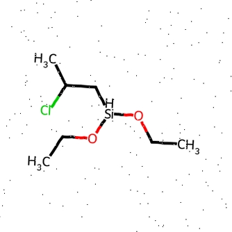 CCO[SiH](CC(C)Cl)OCC